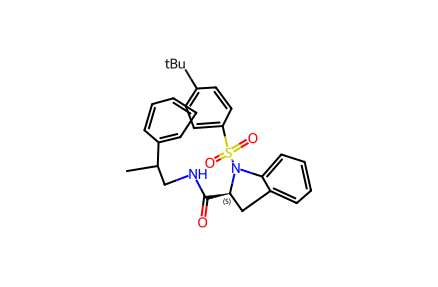 CC(CNC(=O)[C@@H]1Cc2ccccc2N1S(=O)(=O)c1ccc(C(C)(C)C)cc1)c1ccccc1